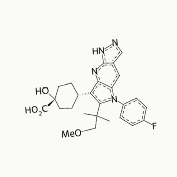 COCC(C)(C)c1c([C@H]2CC[C@](O)(C(=O)O)CC2)c2nc3[nH]ncc3cc2n1-c1ccc(F)cc1